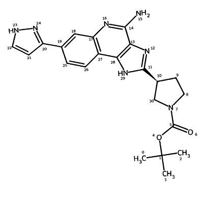 CC(C)(C)OC(=O)N1CC[C@H](c2nc3c(N)nc4cc(-c5cc[nH]n5)ccc4c3[nH]2)C1